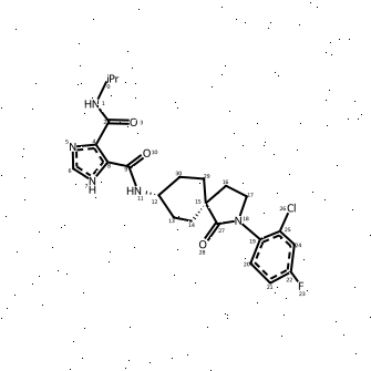 CC(C)NC(=O)c1nc[nH]c1C(=O)N[C@H]1CC[C@@]2(CCN(c3ccc(F)cc3Cl)C2=O)CC1